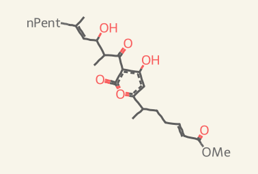 CCCCCC(C)=CC(O)C(C)C(=O)c1c(O)cc(C(C)CC/C=C/C(=O)OC)oc1=O